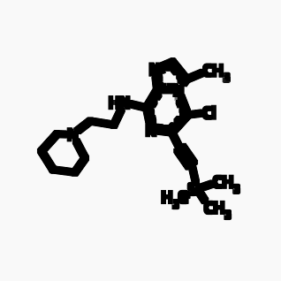 Cc1cnc2c(NCCN3CCCCC3)nc(C#C[Si](C)(C)C)c(Cl)n12